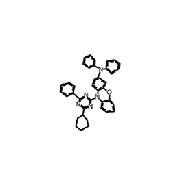 c1ccc(-c2nc(C3CCCCC3)nc(N3c4ccccc4Oc4cc(N(c5ccccc5)c5ccccc5)ccc43)n2)cc1